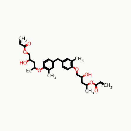 C=CC(=O)OCC(O)CC(CC)Oc1ccc(Cc2ccc(OCC(O)CC(C)OC(=O)C=C)c(C)c2)cc1C